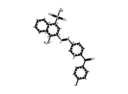 Cc1ccc(C(=O)c2ccc(N=Nc3cc(S(=O)(=O)O)c4ccccc4c3N)cn2)cc1